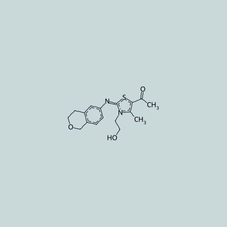 CC(=O)c1sc(=Nc2ccc3c(c2)CCOC3)n(CCO)c1C